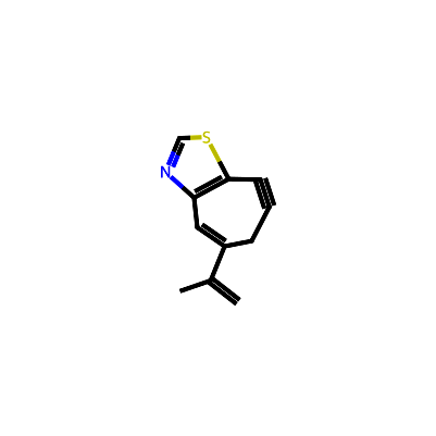 C=C(C)C1=Cc2ncsc2C#CC1